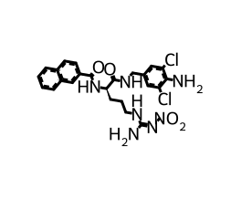 N/C(=N/[N+](=O)[O-])NCCC[C@@H](NC(=O)c1ccc2ccccc2c1)C(=O)NCc1cc(Cl)c(N)c(Cl)c1